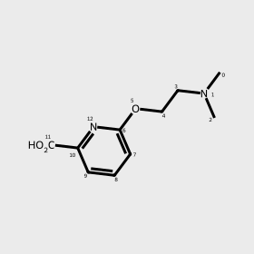 CN(C)CCOc1cccc(C(=O)O)n1